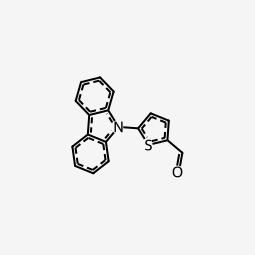 O=Cc1ccc(-n2c3ccccc3c3ccccc32)s1